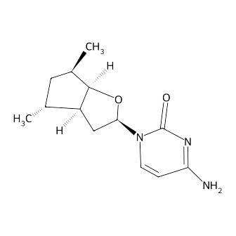 C[C@@H]1C[C@@H](C)[C@H]2O[C@@H](n3ccc(N)nc3=O)C[C@H]21